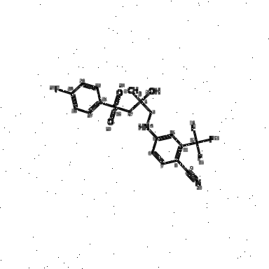 CC(O)(CNc1ccc(C#N)c(C(F)(F)F)c1)CS(=O)(=O)c1ccc(F)cc1